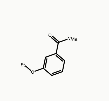 [CH2-][NH2+]C(=O)c1cccc(OCC)c1